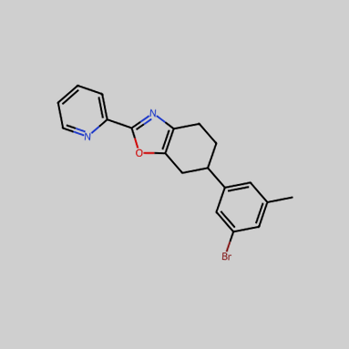 Cc1cc(Br)cc(C2CCc3nc(-c4ccccn4)oc3C2)c1